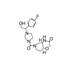 O=C1CO[C@H]2CCN(C(=O)N3CCN(C(CO)c4ccc(F)cc4)CC3)C[C@H]2N1